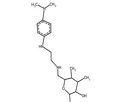 COC1OC(CNCCNc2ccc(N(C)C)cc2)C(C)C(C)C1O